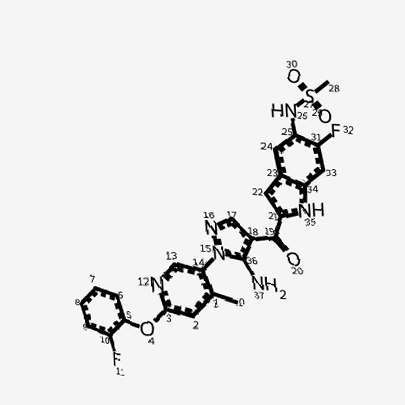 Cc1cc(Oc2ccccc2F)ncc1-n1ncc(C(=O)c2cc3cc(NS(C)(=O)=O)c(F)cc3[nH]2)c1N